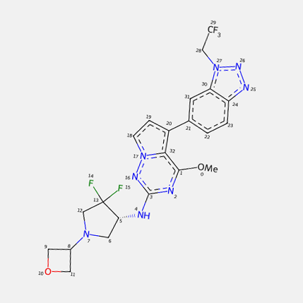 COc1nc(N[C@@H]2CN(C3COC3)CC2(F)F)nn2ccc(-c3ccc4nnn(CC(F)(F)F)c4c3)c12